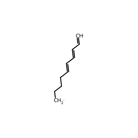 [CH]=CC=CC=CCCC[CH2]